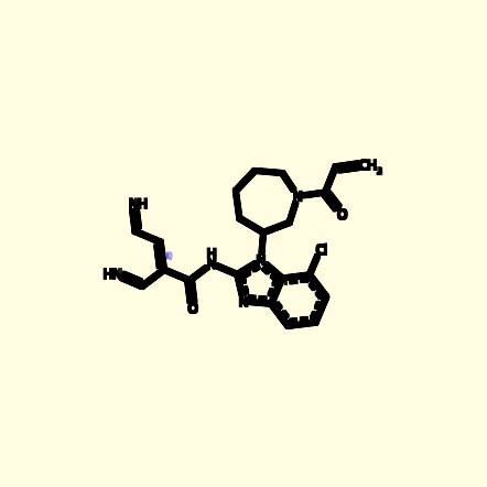 C=CC(=O)N1CCCCC(n2c(NC(=O)/C(C=N)=C/C=N)nc3cccc(Cl)c32)C1